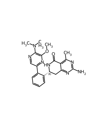 COc1nc(-c2ccccc2[C@H]2Cc3nc(N)nc(C)c3C(=O)N2)cnc1N(C)C